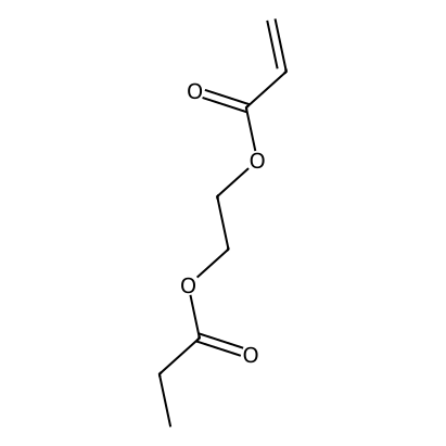 C=CC(=O)OCCOC(=O)CC